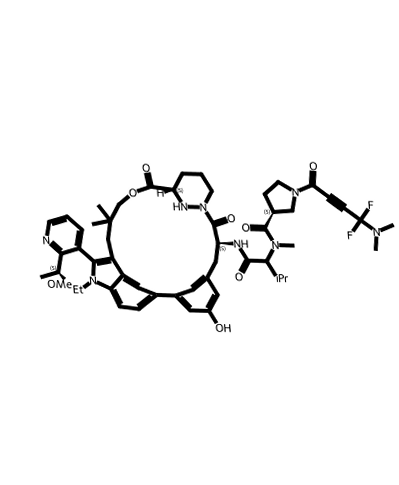 CCn1c(-c2cccnc2[C@H](C)OC)c2c3cc(ccc31)-c1cc(O)cc(c1)C[C@H](NC(=O)C(C(C)C)N(C)C(=O)[C@H]1CCN(C(=O)C#CC(F)(F)N(C)C)C1)C(=O)N1CCC[C@H](N1)C(=O)OCC(C)(C)C2